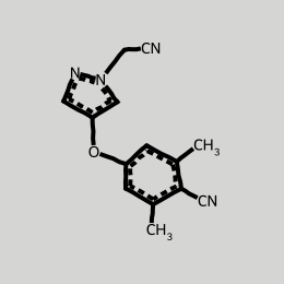 Cc1cc(Oc2cnn(CC#N)c2)cc(C)c1C#N